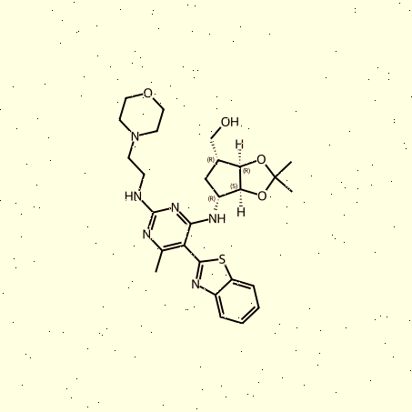 Cc1nc(NCCN2CCOCC2)nc(N[C@@H]2C[C@H](CO)[C@H]3OC(C)(C)O[C@H]32)c1-c1nc2ccccc2s1